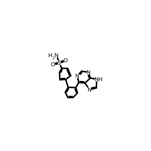 NS(=O)(=O)c1ccc(-c2ccccc2-c2ncnc3[nH]cnc23)cc1